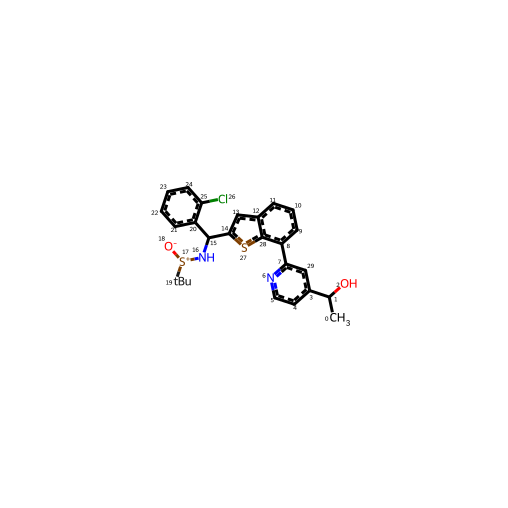 CC(O)c1ccnc(-c2cccc3cc(C(N[S+]([O-])C(C)(C)C)c4ccccc4Cl)sc23)c1